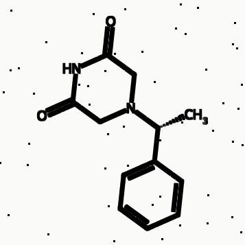 C[C@H](c1ccccc1)N1CC(=O)NC(=O)C1